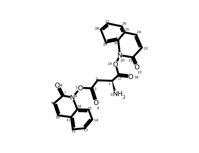 N[C@@H](CC(=O)On1c(=O)ccc2ccccc21)C(=O)On1c(=O)ccc2ccccc21